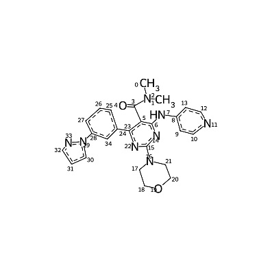 CN(C)C(=O)c1c(Nc2ccncc2)nc(N2CCOCC2)nc1-c1cccc(-n2cccn2)c1